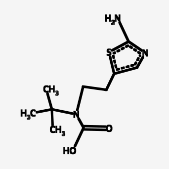 CC(C)(C)N(CCc1cnc(N)s1)C(=O)O